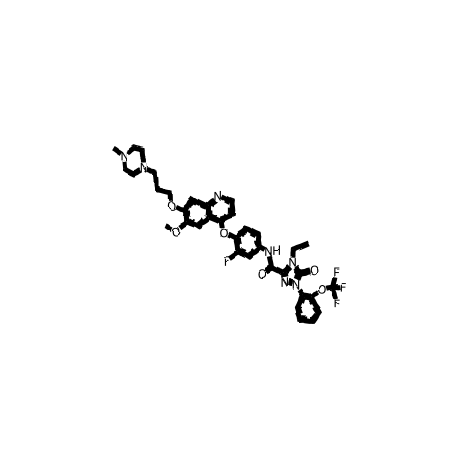 CCn1c(C(=O)Nc2ccc(Oc3ccnc4cc(OCCCN5CCN(C)CC5)c(OC)cc34)c(F)c2)nn(-c2ccccc2OC(F)(F)F)c1=O